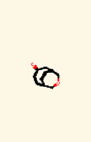 O=C1CCC2C=CC(COC2)C1